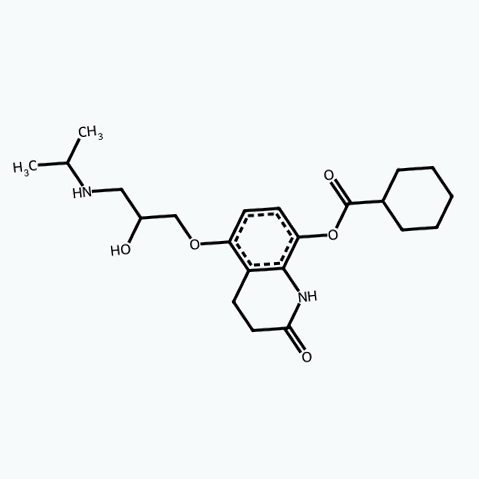 CC(C)NCC(O)COc1ccc(OC(=O)C2CCCCC2)c2c1CCC(=O)N2